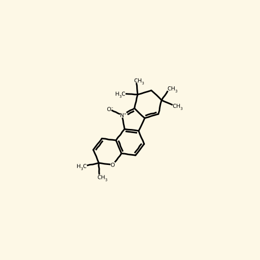 CC1(C)C=C2C(=[N+]([O-])c3c2ccc2c3C=CC(C)(C)O2)C(C)(C)C1